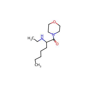 CCCCCC(NCC)C(=O)N1CCOCC1